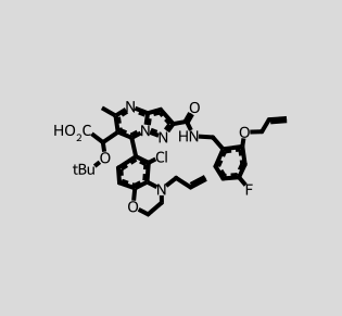 C=CCOc1cc(F)ccc1CNC(=O)c1cc2nc(C)c(C(OC(C)(C)C)C(=O)O)c(-c3ccc4c(c3Cl)N(CC=C)CCO4)n2n1